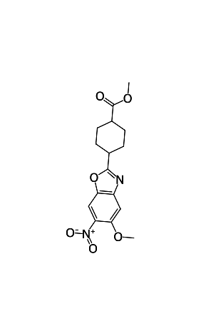 COC(=O)C1CCC(c2nc3cc(OC)c([N+](=O)[O-])cc3o2)CC1